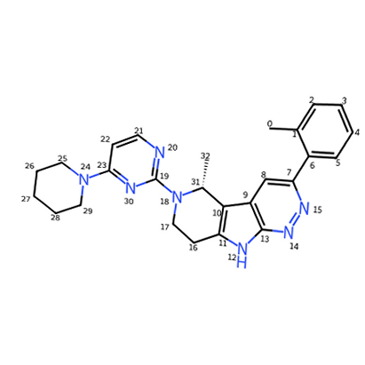 Cc1ccccc1-c1cc2c3c([nH]c2nn1)CCN(c1nccc(N2CCCCC2)n1)[C@@H]3C